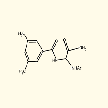 CC(=O)NC(NC(=O)c1cc(C)cc(C)c1)C(N)=O